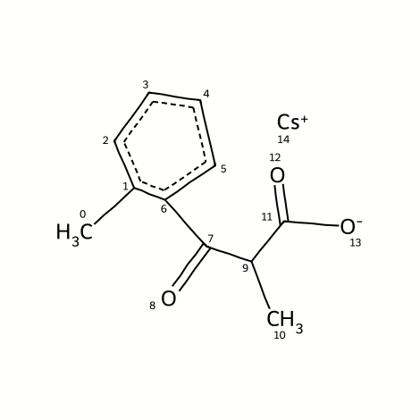 Cc1ccccc1C(=O)C(C)C(=O)[O-].[Cs+]